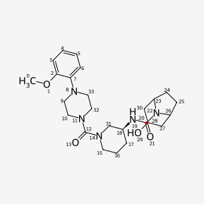 COc1ccccc1N1CCN(C(=O)N2CCC[C@H](NC(=O)N3C4CCC3CC(O)C4)C2)CC1